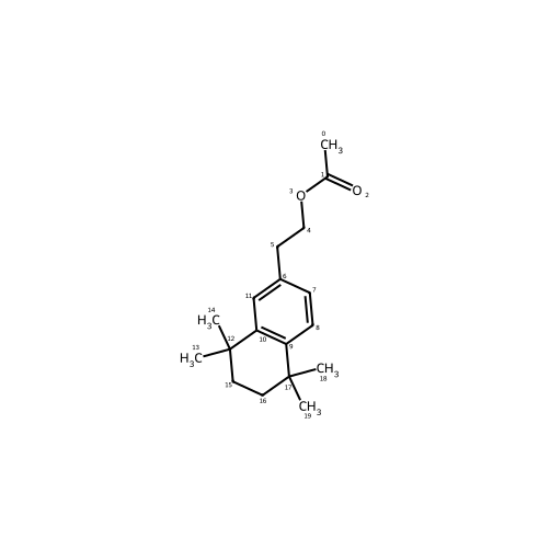 CC(=O)OCCc1ccc2c(c1)C(C)(C)CCC2(C)C